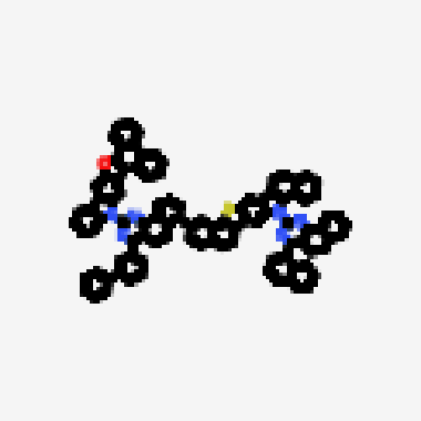 c1ccc(-c2cccc(-c3nc(-n4c5ccccc5c5cc6oc7c8ccccc8c8ccccc8c7c6cc54)nc4c3ccc3c(-c5ccc6ccc7c8cc9c(cc8sc7c6c5)c5ccc6ccccc6c5n9-c5nc(-c6cccc7ccccc67)c6ccc7ccccc7c6n5)cccc34)c2)cc1